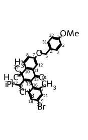 COc1ccc(COc2ccc3c(c2)C(=O)C(c2ccc(Br)cc2C)=C(C(C)C(C)C)C3(C)C)cc1